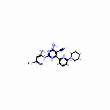 CC(=N)/C=C(/C)Nc1nc(N)c(C#N)c(-c2cccc(N3CCCCC3)n2)n1